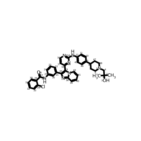 CC(C)(O)CN1CCC(c2ccc(Nc3nccc(-c4c(-c5cccc(NC(=O)c6ccccc6Cl)c5)nc5ccccn45)n3)cc2)CC1